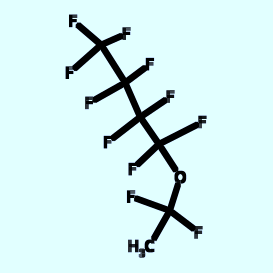 CC(F)(F)OC(F)(F)C(F)(F)C(F)(F)C(F)(F)F